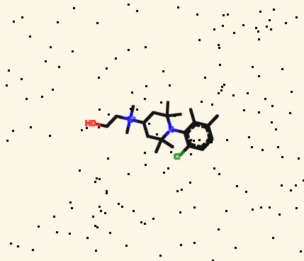 Cc1ccc(Cl)c(N2C(C)(C)CC([N+](C)(C)CCO)CC2(C)C)c1C